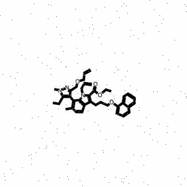 C=CCOCc1nn(C)c(CC)c1-c1c(C)ccc2c(CCCOc3cccc4ccccc34)c(C(=O)OCC)n(CC=C)c12